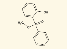 COP(=O)(c1ccccc1)c1ccccc1O